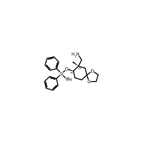 CC(C)(C)[Si](O[C@@H]1CCC2(C[C@@]1(C)CN)OCCO2)(c1ccccc1)c1ccccc1